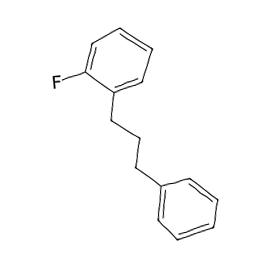 Fc1ccccc1CCCc1ccccc1